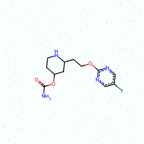 NC(=O)OC1CCNC(CCOc2ncc(F)cn2)C1